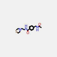 CC(=O)NCc1ccc(C(=O)NCCN2CCSCC2)cc1